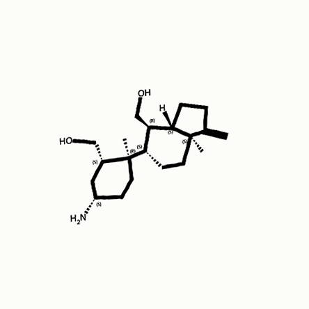 C=C1CC[C@H]2[C@H](CO)[C@@H]([C@@]3(C)CC[C@H](N)C[C@@H]3CO)CC[C@]12C